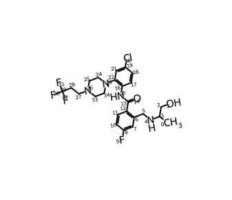 CC(CO)NCc1cc(F)ccc1C(=O)Nc1ccc(Cl)cc1N1CCN(CCC(F)(F)F)CC1